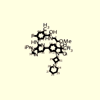 COCCNC(O)c1cc(Nc2nc(-c3ccc4c(c3)N([C@H]3C[C@@H](N5CCCCC5)C3)C(=O)C4(C)C)cc3ncn(C(C)C)c23)c(F)cc1C